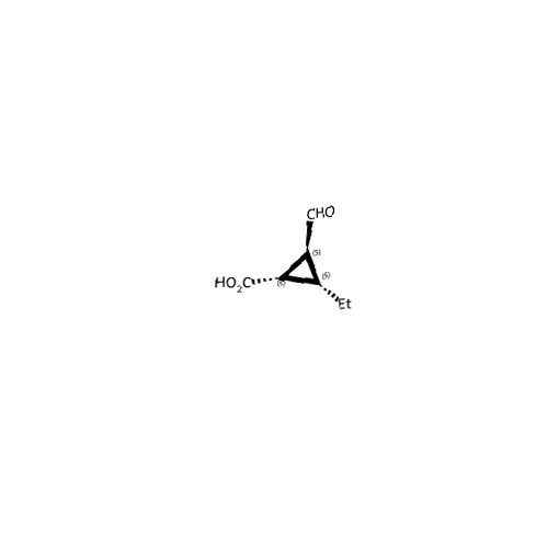 CC[C@H]1[C@H](C=O)[C@H]1C(=O)O